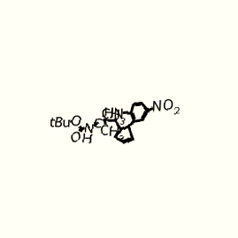 CC(C)(C)OC(=O)NCC(C)(C)C1Nc2ccc([N+](=O)[O-])cc2C2C=CCC21